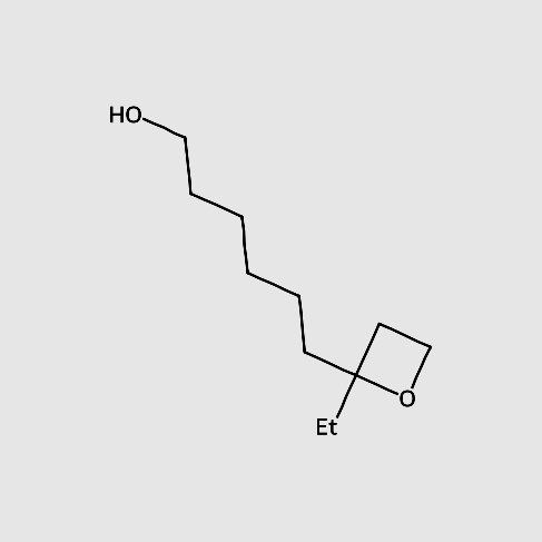 CCC1(CCCCCCO)CCO1